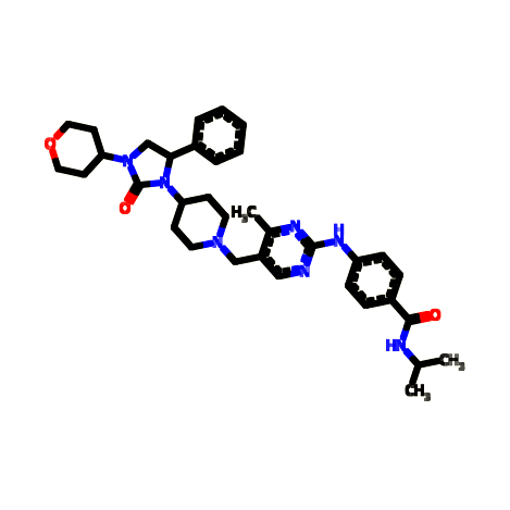 Cc1nc(Nc2ccc(C(=O)NC(C)C)cc2)ncc1CN1CCC(N2C(=O)N(C3CCOCC3)CC2c2ccccc2)CC1